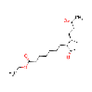 CCOC(=O)CCCCCC[C@@H]1C(=O)CC[C@@H]1CCC(C)=O